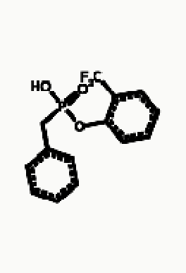 O=P(O)(Cc1ccccc1)Oc1ccccc1C(F)(F)F